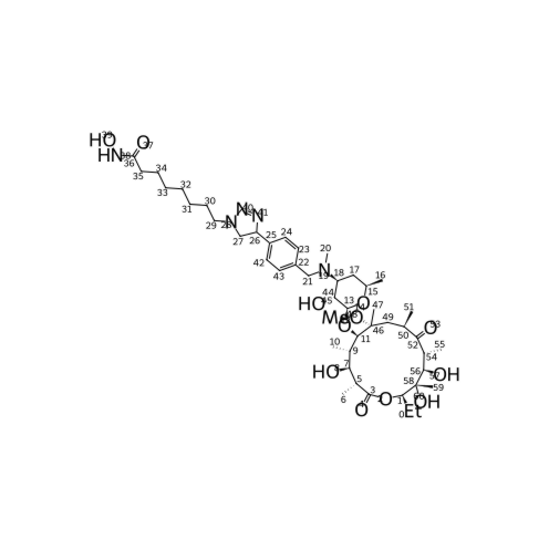 CC[C@H]1OC(=O)[C@H](C)[C@@H](O)[C@H](C)[C@@H](O[C@@H]2O[C@H](C)C[C@H](N(C)Cc3ccc(C4CN(CCCCCCCC(=O)NO)N=N4)cc3)[C@H]2O)[C@](C)(OC)C[C@@H](C)C(=O)[C@H](C)[C@@H](O)[C@]1(C)O